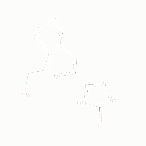 O=c1[nH]nc(-c2cc3ccccc3c(CO)n2)[nH]1